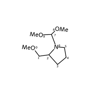 COCC1CCCN1C(OC)OC